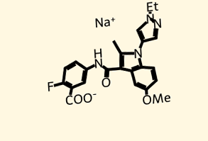 CCn1cc(-n2c(C)c(C(=O)Nc3ccc(F)c(C(=O)[O-])c3)c3cc(OC)ccc32)cn1.[Na+]